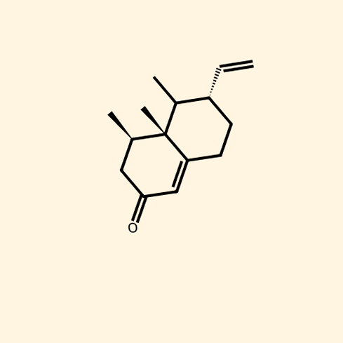 C=C[C@@H]1CCC2=CC(=O)C[C@@H](C)[C@]2(C)C1C